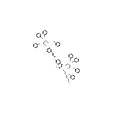 CCCCCCCCOc1c(O[C@@H]2O[C@H](COCc3ccccc3)[C@H](OCc3ccccc3)[C@H](OCc3ccccc3)[C@H]2OCc2ccccc2)c2ccc(NC(=O)C=Cc3cc(OC)c(O[C@@H]4O[C@H](COCc5ccccc5)[C@H](OCc5ccccc5)[C@H](OCc5ccccc5)[C@H]4OCc4ccccc4)c(OC)c3)cc2n(C)c1=O